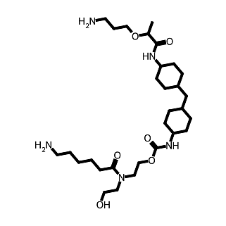 CC(OCCCN)C(=O)NC1CCC(CC2CCC(NC(=O)OCCN(CCO)C(=O)CCCCCN)CC2)CC1